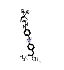 CCC(C)Cc1ccc(/N=N/c2ccc(N=Nc3ncc([N+](=O)[O-])s3)cc2)cc1